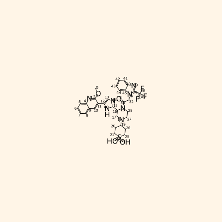 COc1nc2ccccc2cc1-c1cnc(C2CN(C3CCS(O)(O)CC3)CCN2C(=O)Cn2c(C(F)(F)F)nc3ccccc32)[nH]1